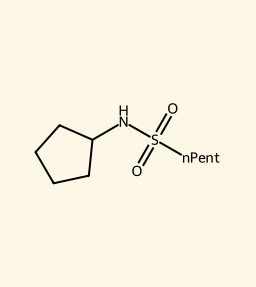 CCCCCS(=O)(=O)NC1CCCC1